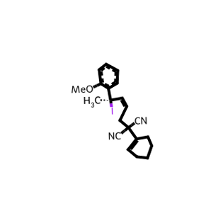 COc1ccccc1[C@](C)(I)/C=C\CC(C#N)(C#N)C1=CCCCC1